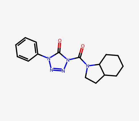 O=C(N1CCC2CCCCC21)n1nnn(-c2ccccc2)c1=O